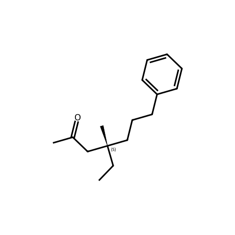 CC[C@@](C)(CCCc1ccccc1)CC(C)=O